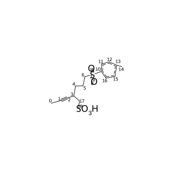 CC#CC(CCCS(=O)(=O)c1ccc(C)cc1)CS(=O)(=O)O